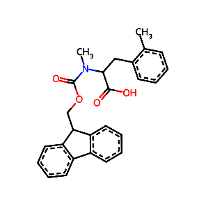 Cc1ccccc1CC(C(=O)O)N(C)C(=O)OCC1c2ccccc2-c2ccccc21